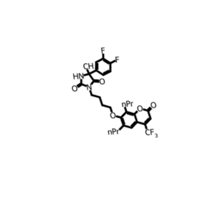 CCCc1cc2c(C(F)(F)F)cc(=O)oc2c(CCC)c1OCCCCN1C(=O)NC(C)(c2ccc(F)c(F)c2)C1=O